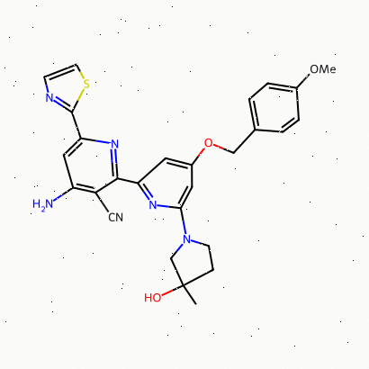 COc1ccc(COc2cc(-c3nc(-c4nccs4)cc(N)c3C#N)nc(N3CCC(C)(O)C3)c2)cc1